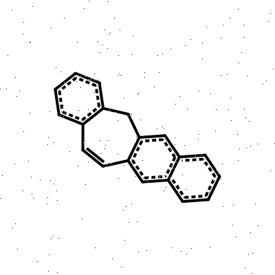 [CH]1c2ccccc2C=Cc2cc3ccccc3cc21